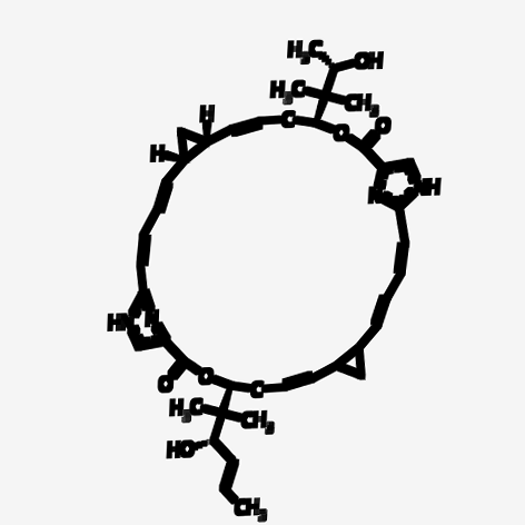 C/C=C/[C@H](O)C(C)(C)[C@@H]1C/C=C\C2CC2/C=C/C=C\c2nc(c[nH]2)C(=O)O[C@H](C(C)(C)[C@H](C)O)C/C=C\[C@H]2C[C@H]2/C=C/C=C\c2nc(c[nH]2)C(=O)O1